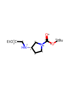 CCOC(=O)CN[C@H]1CCN(C(=O)OC(C)(C)C)C1